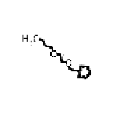 CCCCO[CH]COCc1ccccc1